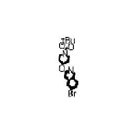 CC(C)(C)OC(=O)N1CCC(Oc2cc3cc(Br)ccc3cn2)CC1